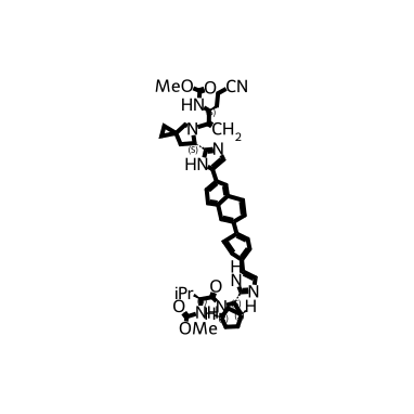 C=C([C@H](CCC#N)NC(=O)OC)N1CC2(CC2)C[C@H]1c1ncc(-c2ccc3cc(-c4ccc(-c5cnc([C@@H]6[C@H]7CC[C@H](C7)N6C(=O)[C@@H](NC(=O)OC)C(C)C)[nH]5)cc4)ccc3c2)[nH]1